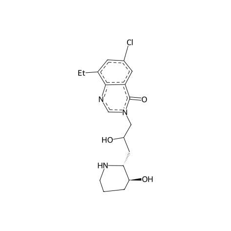 CCc1cc(Cl)cc2c(=O)n(CC(O)C[C@H]3NCCC[C@@H]3O)cnc12